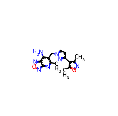 Cc1nc2nonc2c(N)c1Cn1ccc(-c2c(C)noc2C)n1